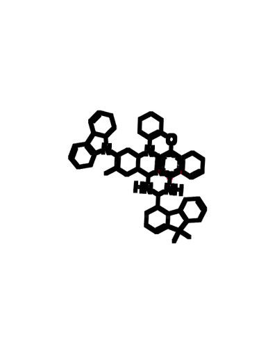 CC1=C(N2C3=C(C=CCC3)C3C=CCCC32)CC(N2C3=C(CCCC3)Oc3ccccc32)C(C2NC(C3=CCCC=C3)NC(C3CCC=C4C3C3CC=CCC3C4(C)C)N2)C1